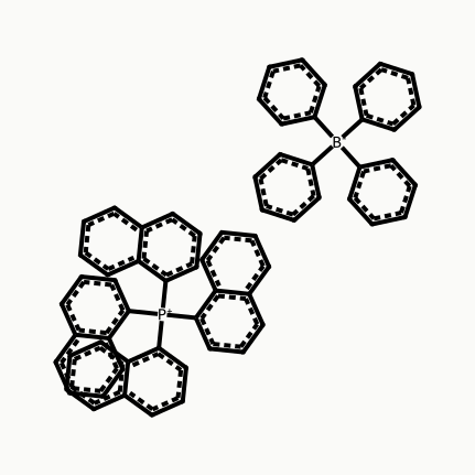 c1ccc([B-](c2ccccc2)(c2ccccc2)c2ccccc2)cc1.c1ccc2c([P+](c3cccc4ccccc34)(c3cccc4ccccc34)c3cccc4ccccc34)cccc2c1